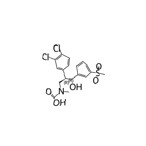 CN(C[C@@H](c1ccc(Cl)c(Cl)c1)[C@@H](O)c1cccc(S(C)(=O)=O)c1)C(=O)O